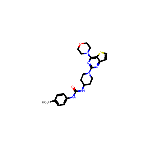 O=C(Nc1ccc(C(=O)O)cc1)NC1CCN(c2nc(N3CCOCC3)c3sccc3n2)CC1